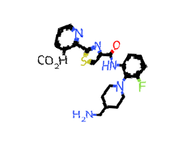 NCC1CCN(c2c(F)cccc2NC(=O)c2csc(-c3ncccc3C(=O)O)n2)CC1